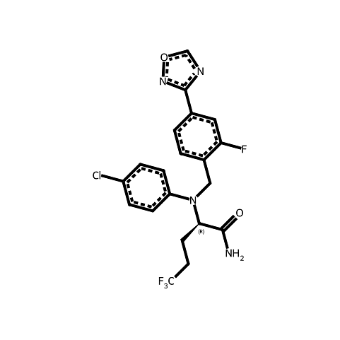 NC(=O)[C@@H](CCC(F)(F)F)N(Cc1ccc(-c2ncon2)cc1F)c1ccc(Cl)cc1